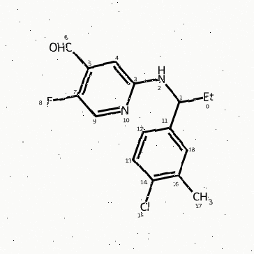 CCC(Nc1cc(C=O)c(F)cn1)c1ccc(Cl)c(C)c1